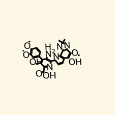 COc1ccc(-c2c(C)c(C(=O)O)nc(-c3ccc4c(O)c(OC)c5c(c4n3)=NC(C)(C)N=5)c2N)c(O)c1OC